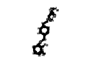 NC(=O)CNCc1ccc(COc2cccc(F)c2F)cc1